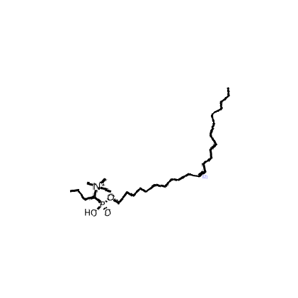 CCCCCCCCCCC/C=C\CCCCCCCCCCOP(=O)(O)C(CCC)[N+](C)(C)C